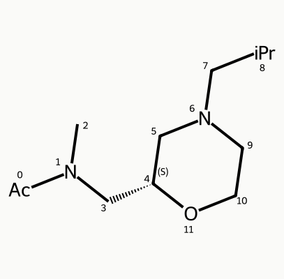 CC(=O)N(C)C[C@@H]1CN(CC(C)C)CCO1